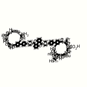 CCCCN1C(=O)NCc2cc(ccc2-c2ccc(N3CCN(C(=O)c4ccccc4-c4ccccc4C(=O)N4CCN(c5ccc(-c6ccc7cc6CNC(=O)[C@@H](N)CCCC[C@H](C)NC(=O)[C@H]([C@@H](C)CC)NC(=O)NC(=O)[C@H](CC(C)C)NC7=O)cc5)CC4)CC3)cc2)C(=O)N[C@@H](CC(C)C)C(=O)N[C@@H](CC(=O)O)C(=O)N[C@@H](C(C)CC)C(=O)N[C@@H](C)[C@H]1C(=O)NC(C)(C)S